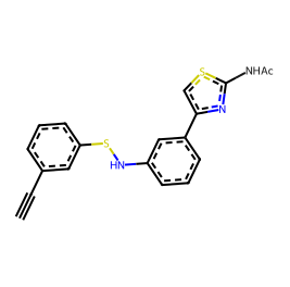 C#Cc1cccc(SNc2cccc(-c3csc(NC(C)=O)n3)c2)c1